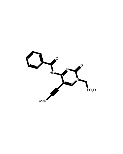 CCOC(=O)Cn1cc(C#CNC)c(NC(=O)c2ccccc2)nc1=O